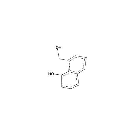 OCc1cccc2cccc(O)c12